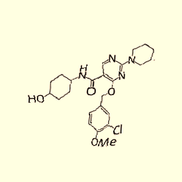 COc1ccc(COc2nc(N3C[CH]CCC3)ncc2C(=O)NC2CCC(O)CC2)cc1Cl